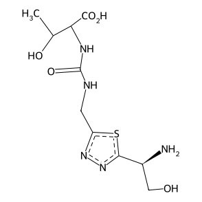 CC(O)C(NC(=O)NCc1nnc([C@@H](N)CO)s1)C(=O)O